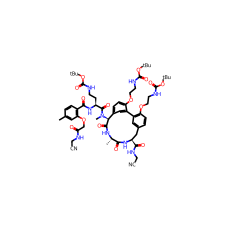 Cc1ccc(C(=O)N[C@@H](CCNC(=O)OC(C)(C)C)C(=O)N(C)[C@@H]2C(=O)N[C@@H](C)C(=O)N[C@H](C(=O)NCC#N)Cc3ccc(OCCNC(=O)OC(C)(C)C)c(c3)-c3cc2ccc3OCCNC(=O)OC(C)(C)C)c(OCC(=O)NCC#N)c1